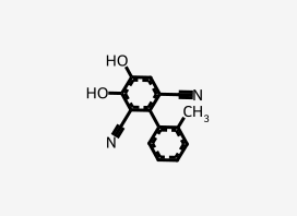 Cc1ccccc1-c1c(C#N)cc(O)c(O)c1C#N